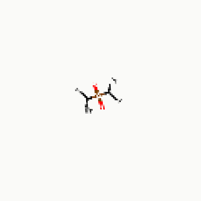 CC(C)C(C(C)C)S(=O)(=O)C(C(C)C)C(C)C